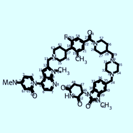 CNc1ccn(-c2ccnc3c2cc(CN2CCC(c4c(C)cc(C(=O)N5CCC(CN6CCN(Cc7ccc8c(c7)n(C)c(=O)n8[C@H]7CCC(=O)NC7=O)CC6)CC5)cc4F)CC2)n3C)c(=O)c1